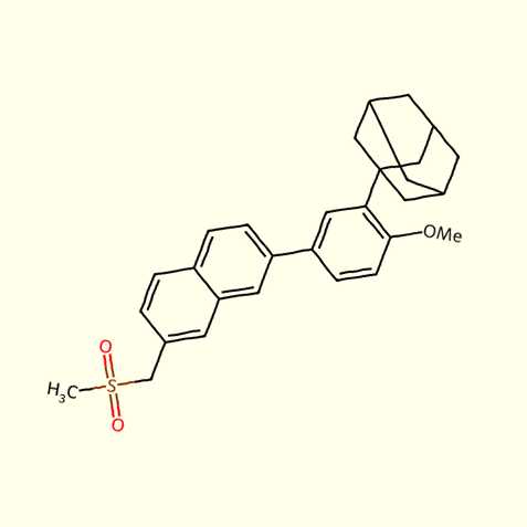 COc1ccc(-c2ccc3ccc(CS(C)(=O)=O)cc3c2)cc1C12CC3CC(CC(C3)C1)C2